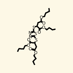 CCCCOC(=O)CC(Sc1nnc(SC(CC(=O)OCCCC)C(=O)OCCCC)s1)C(=O)OCCCC